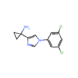 NC1(c2cn(-c3cc(Cl)cc(Cl)c3)cn2)CC1